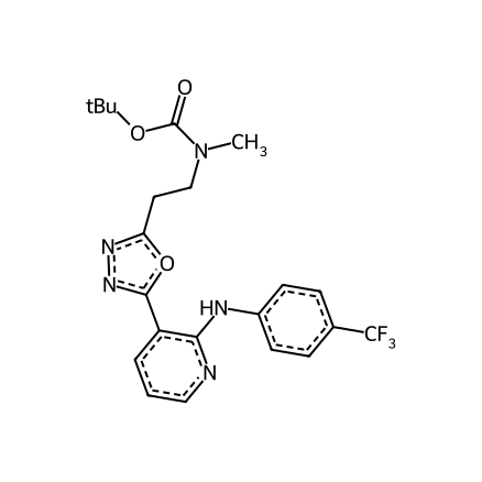 CN(CCc1nnc(-c2cccnc2Nc2ccc(C(F)(F)F)cc2)o1)C(=O)OC(C)(C)C